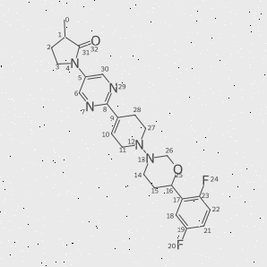 CC1CCN(c2cnc(C3=CCN(N4CCC(c5cc(F)ccc5F)OC4)CC3)nc2)C1=O